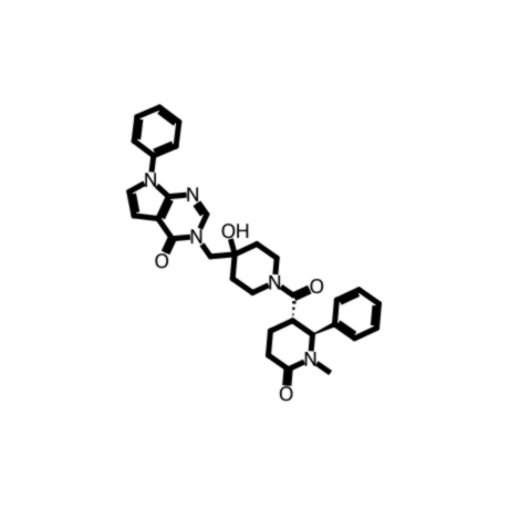 CN1C(=O)CC[C@H](C(=O)N2CCC(O)(Cn3cnc4c(ccn4-c4ccccc4)c3=O)CC2)[C@H]1c1ccccc1